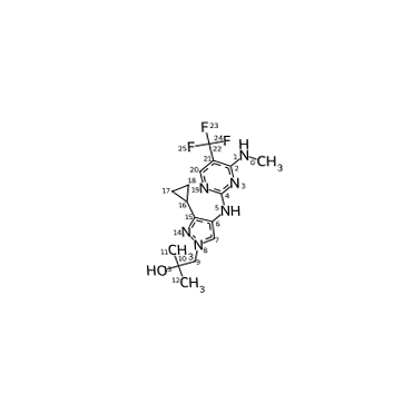 CNc1nc(Nc2cn(CC(C)(C)O)nc2C2CC2)ncc1C(F)(F)F